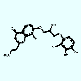 CCCc1c(OCC(O)COc2ccc3c(=O)cc(CCC(=O)O)oc3c2C)ccc(C(C)=O)c1O